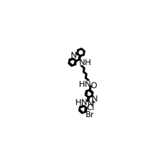 O=C(NCCCCCCNc1c2c(nc3ccccc13)CCCC2)c1ccc2c(Nc3cccc(Br)c3Cl)ncnc2c1